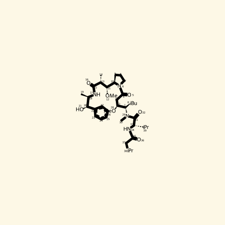 CC[C@H](C)[C@@H]([C@@H](CC(=O)N1CCC[C@@H]1[C@H](OC)[C@@H](C)C(=O)N[C@H](C)[C@@H](O)c1ccccc1)OC)N(C)C(=O)[C@@H](NC(=O)CC(C)C)C(C)C